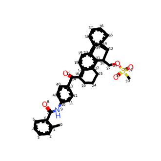 Cc1ccccc1C(=O)Nc1ccc(C(=O)C2=c3ccc4c(c3CCC2)C(COS(C)(=O)=O)C=c2ccccc2=4)cc1